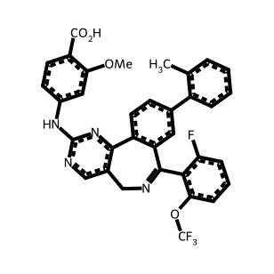 COc1cc(Nc2ncc3c(n2)-c2ccc(-c4ccccc4C)cc2C(c2c(F)cccc2OC(F)(F)F)=NC3)ccc1C(=O)O